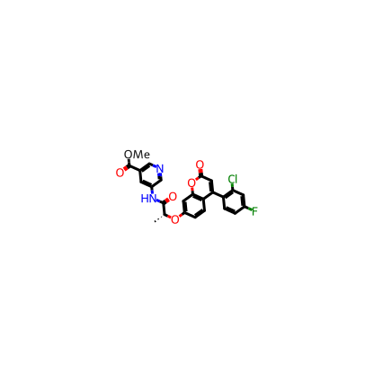 COC(=O)c1cncc(NC(=O)[C@@H](C)Oc2ccc3c(-c4ccc(F)cc4Cl)cc(=O)oc3c2)c1